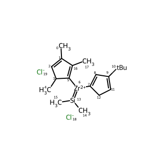 CC1=CC(C)[C]([Zr+2]([C]2=CC(C(C)(C)C)=CC2)=[Si](C)C)=C1C.[Cl-].[Cl-]